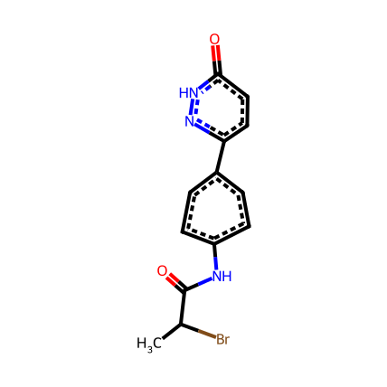 CC(Br)C(=O)Nc1ccc(-c2ccc(=O)[nH]n2)cc1